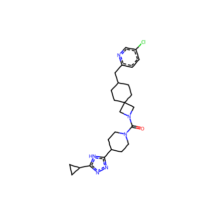 O=C(N1CCC(c2nnc(C3CC3)[nH]2)CC1)N1CC2(CCC(Cc3ccc(Cl)cn3)CC2)C1